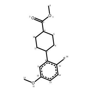 COC(=O)C1CCC(c2cc(OC)ccc2F)CC1